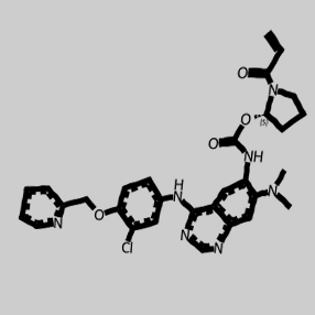 C=CC(=O)N1CCC[C@@H]1OC(=O)Nc1cc2c(Nc3ccc(OCc4ccccn4)c(Cl)c3)ncnc2cc1N(C)C